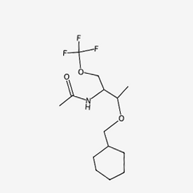 CC(=O)NC(COC(F)(F)F)C(C)OCC1CCCCC1